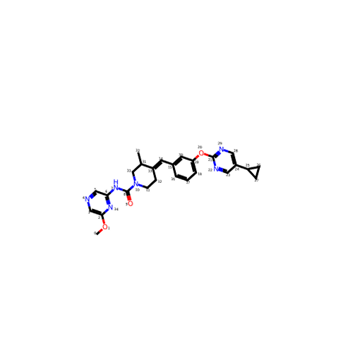 COc1cncc(NC(=O)N2CCC(=Cc3cccc(Oc4ncc(C5CC5)cn4)c3)C(C)C2)n1